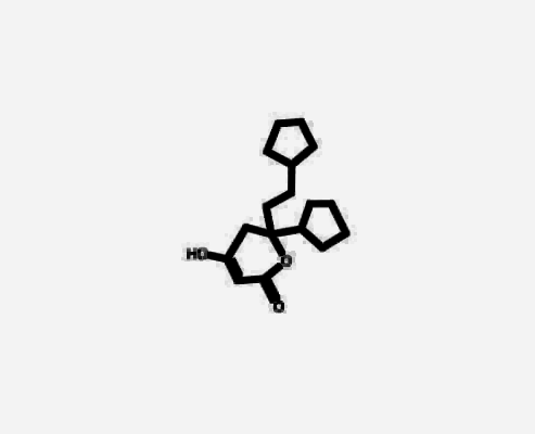 O=C1C=C(O)CC(CCC2CCCC2)(C2CCCC2)O1